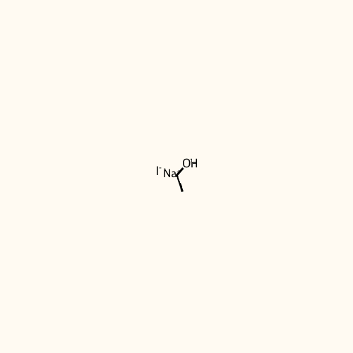 CCO.[I-].[Na+]